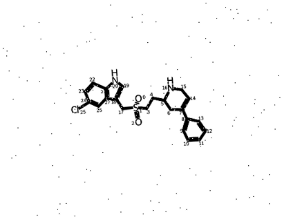 O=S(=O)(CCC1CC(c2ccccc2)=CCN1)Cc1c[nH]c2ccc(Cl)cc12